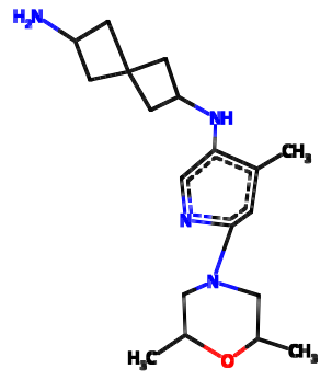 Cc1cc(N2CC(C)OC(C)C2)ncc1NC1CC2(CC(N)C2)C1